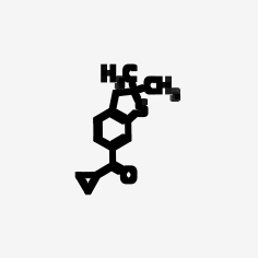 CC1(C)Cc2ccc(C(=O)C3CC3)cc2S1